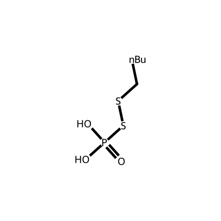 CCCCCSSP(=O)(O)O